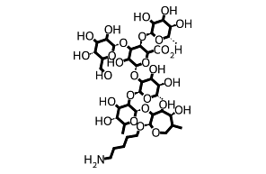 CC1CO[C@@H](OCCCCCN)C(O[C@@H]2OC(C)[C@H](O)C(O)C2O[C@@H]2O[C@@H](C)[C@H](O)C(O)C2O[C@H]2OC(C(=O)O)[C@H](O[C@@H]3O[C@@H](C)[C@H](O)C(O)C3O)C(O[C@@H]3OC(CO)[C@H](O)C(O)C3O)C2O)C(O)[C@H]1O